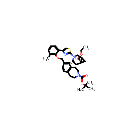 CCOC(=O)[C@@]12CCN(c3nc(-c4cccc(C)c4OCc4ccc5c(c4C)CCN(C(=O)OC(C)(C)C)CC5)cs3)CC1C2